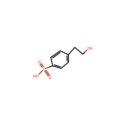 O=S(=O)(O)c1ccc(CCO)cc1